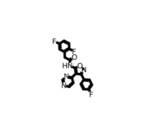 O=C(Cc1cc(F)ccc1F)Nc1onc(-c2ccc(F)cc2)c1-c1ccncn1